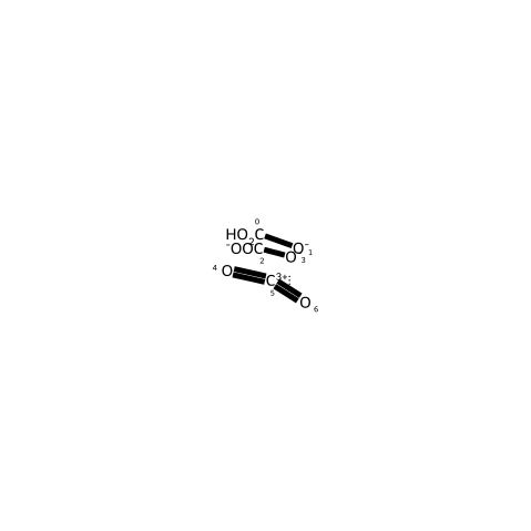 O=C([O-])O.O=C([O-])[O-].O=[C+3]=O